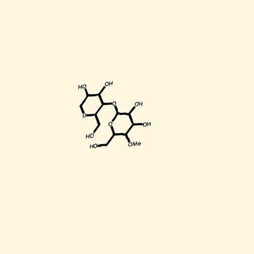 COC1C(CO)OC(OC2C(CO)OCC(O)C2O)C(O)C1O